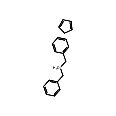 [CH]1C=CC=C1.c1ccc([CH2][GeH2][CH2]c2ccccc2)cc1